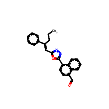 CCC/C(=C\c1nnc(-c2ccc(C=O)c3ccccc23)o1)c1ccccc1